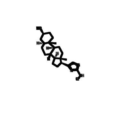 C[C@]12CC[C@H](O)C[C@@H]1CC[C@@H]1[C@@H]2CC[C@]2(C)[C@@H](c3csc(NCl)n3)CC[C@@H]12